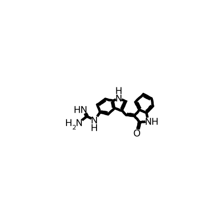 N=C(N)Nc1ccc2[nH]cc(/C=C3/C(=O)Nc4ccccc43)c2c1